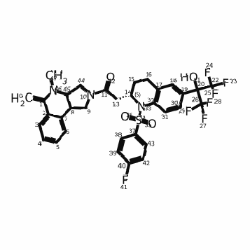 C=C1c2ccccc2C2CN(C(=O)C[C@@H]3CCc4cc(C(O)(C(F)(F)F)C(F)(F)F)ccc4N3S(=O)(=O)c3ccc(F)cc3)CC2N1C